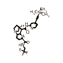 C[Si](C)(C)C#Cc1ccnc(NC(=O)C2c3nc(C(=O)NCC(F)(F)F)ccc3N3CC[C@H]2C3)c1